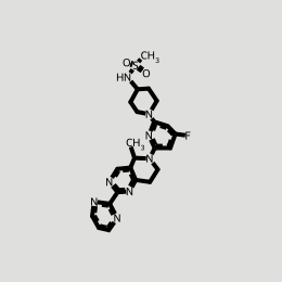 CC1c2cnc(-c3ncccn3)nc2CCN1c1cc(F)cc(N2CCC(NS(C)(=O)=O)CC2)n1